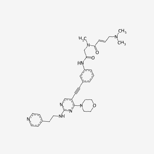 CN(C)C/C=C/C(=O)N(C)CC(=O)Nc1cccc(C#Cc2cnc(NCCc3ccncc3)nc2N2CCOCC2)c1